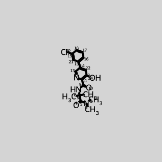 CN(C)C(=O)C(C)(C)NC(=O)c1ncc(-c2cccc(Cl)c2)cc1O